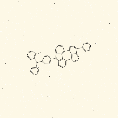 c1ccc(-c2ccc3c4c(cccc24)-c2cccc4c2c2c-3cccc2n4-c2ccc(N(c3ccccc3)c3ccccc3)cc2)cc1